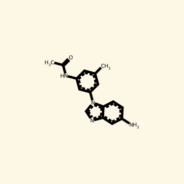 CC(=O)Nc1cc(C)cc(-n2cnc3cc(N)ccc32)c1